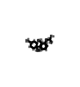 CCN1CCC(O)(c2cccc(OC(F)F)c2Cl)CC1